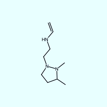 C=CNCCN1CCC(C)N1C